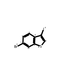 Brc1ccc2c(I)csc2c1